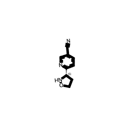 N#Cc1ccc([C@@H]2CCON2)nc1